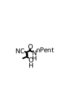 CCCCCNC(=O)C(C#N)=C(C)O